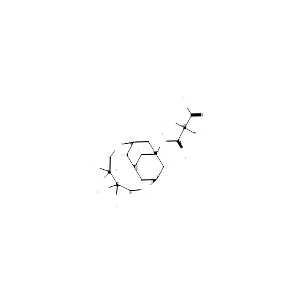 O=C(O)C(F)(F)C(=O)OC12CC3CC(C1)OCC(F)(F)C(F)(F)COC(C3)C2